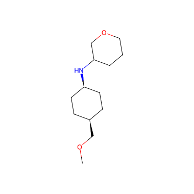 COC[C@H]1CC[C@@H](NC2CCCOC2)CC1